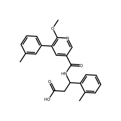 COc1ncc(C(=O)NC(CC(=O)O)c2ccccc2C)cc1-c1cccc(C)c1